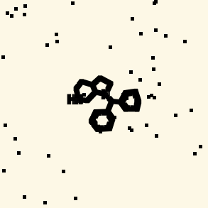 c1ccc(C(c2ccccc2)N2CCC3CCNCC32)cc1